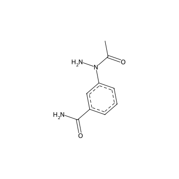 CC(=O)N(N)c1cccc(C(N)=O)c1